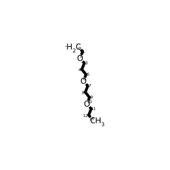 [CH2]COCCCOCCCOCCC